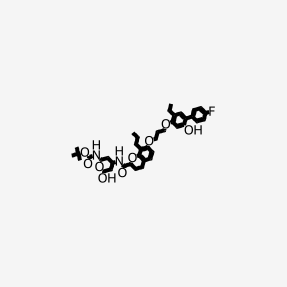 CCCc1c(OCCCOc2cc(O)c(-c3ccc(F)cc3)cc2CC)ccc2c1OC(C(=O)NC(CCNC(=O)OC(C)(C)C)CC(=O)O)CC2